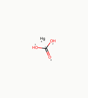 O=C(O)O.[Hg]